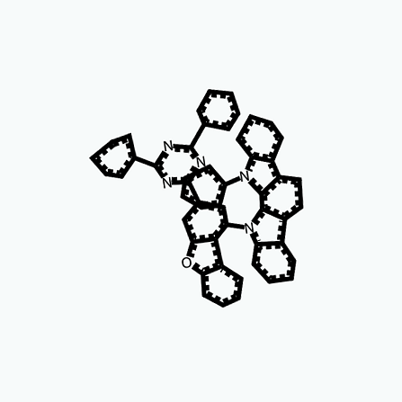 c1ccc(-c2nc(-c3ccccc3)nc(-c3cc(-n4c5ccccc5c5ccc6c7ccccc7n(-c7ccccc7)c6c54)c4c(c3)oc3ccccc34)n2)cc1